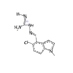 [H]/N=C(\N)NN=Cc1c(Cl)ccc2c1ccn2C